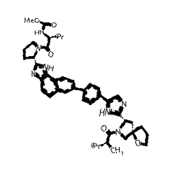 COC(=O)N[C@H](C(=O)N1CCC[C@H]1c1nc2ccc3cc(-c4ccc(-c5cnc([C@@H]6C[C@@]7(CCCO7)CN6C(=O)[C@@H](C)C(C)C)[nH]5)cc4)ccc3c2[nH]1)C(C)C